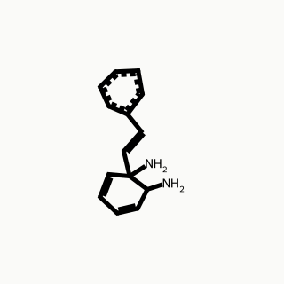 NC1C=CC=CC1(N)C=Cc1ccccc1